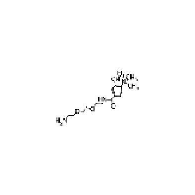 C[N+](C)(C)c1ccc(C(=O)NCCOCCOCCN)cc1C#N